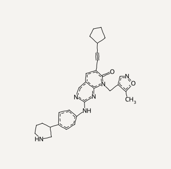 Cc1oncc1Cn1c(=O)c(C#CC2CCCC2)cc2cnc(Nc3ccc(C4CCCNC4)cc3)nc21